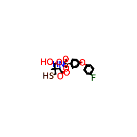 COC(=O)C(NS(=O)(=O)c1ccc(Oc2ccc(F)cc2)cc1)C(C)(CS)C(=O)O